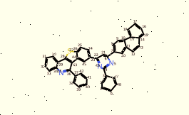 c1ccc(-c2nc(-c3ccc4c(ccc5ccccc54)c3)cc(-c3ccc4sc5c6ccccc6nc(-c6ccccc6)c5c4c3)n2)cc1